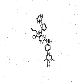 C=CCn1c(=O)c2cnc(Nc3ccc(N4CC(C)NC(C)C4)cc3)nc2n1-c1cccc(-c2cnccn2)n1